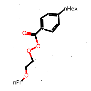 CCCCCCc1ccc(C(=O)OO[CH]COCCC)cc1